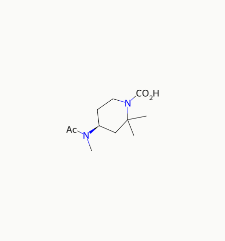 CC(=O)N(C)[C@H]1CCN(C(=O)O)C(C)(C)C1